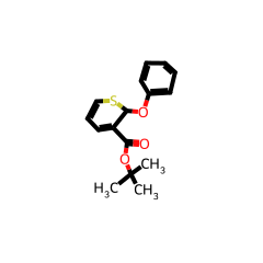 CC(C)(C)OC(=O)C1=CC=CSC1Oc1ccccc1